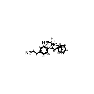 BC.N#CCCc1ccc(OCC2(O)CN3CCC2CC3)cc1